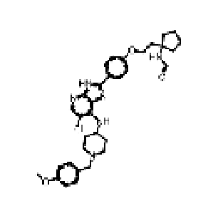 COc1ccc(CN2CCC(Nc3c(Cl)cnc4[nH]c(-c5ccc(OCCC6(NC=O)CCCC6)cc5)nc34)CC2)cc1